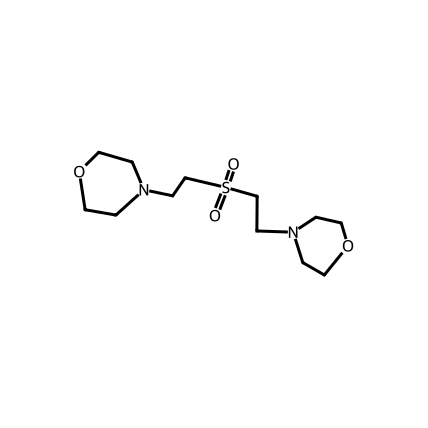 O=S(=O)(CCN1CCOCC1)CCN1CCOCC1